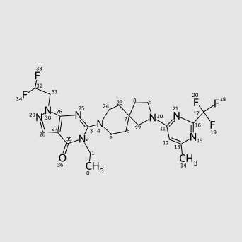 CCn1c(N2CCC3(CCN(c4cc(C)nc(C(F)(F)F)n4)C3)CC2)nc2c(cnn2CC(F)F)c1=O